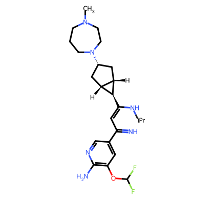 CC(C)N/C(=C\C(=N)c1cnc(N)c(OC(F)F)c1)[C@H]1[C@@H]2C[C@H](N3CCCN(C)CC3)C[C@@H]21